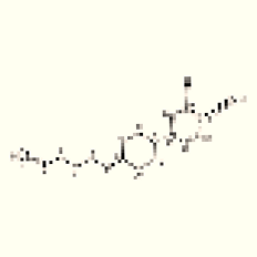 C=CCCCC[C@H]1CC[C@H](c2ccc(C#N)c(F)c2)CC1